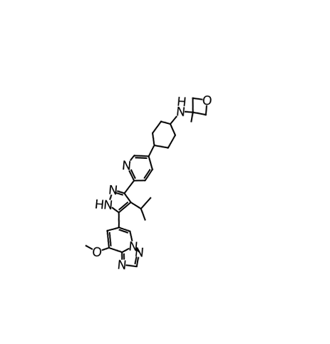 COc1cc(-c2[nH]nc(-c3ccc(C4CCC(NC5(C)COC5)CC4)cn3)c2C(C)C)cn2ncnc12